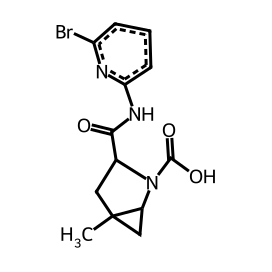 CC12CC(C(=O)Nc3cccc(Br)n3)N(C(=O)O)C1C2